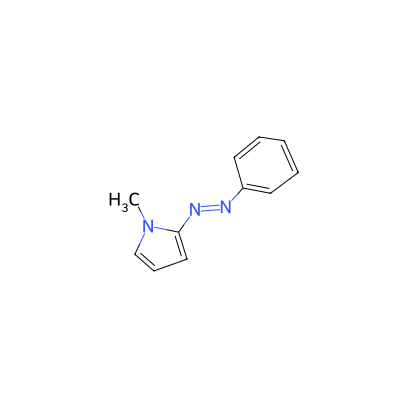 Cn1cccc1N=Nc1ccccc1